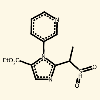 CCOC(=O)c1cnc(C(C)[SH](=O)=O)n1-c1cccnc1